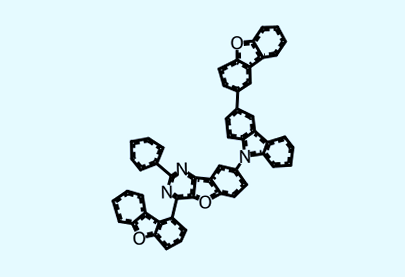 c1ccc(-c2nc(-c3cccc4oc5ccccc5c34)c3oc4ccc(-n5c6ccccc6c6cc(-c7ccc8oc9ccccc9c8c7)ccc65)cc4c3n2)cc1